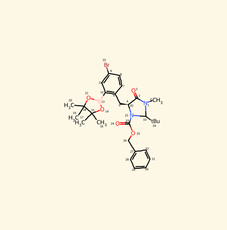 CN1C(=O)[C@H](Cc2ccc(Br)cc2B2OC(C)(C)C(C)(C)O2)N(C(=O)OCc2ccccc2)C1C(C)(C)C